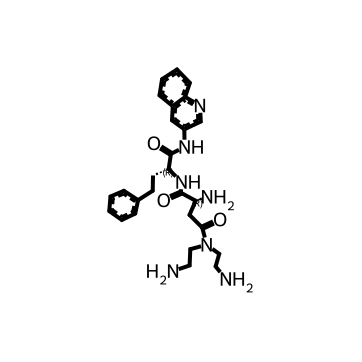 NCCN(CCN)C(=O)C[C@@H](N)C(=O)N[C@H](CCc1ccccc1)C(=O)Nc1cnc2ccccc2c1